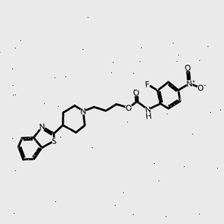 O=C(Nc1ccc([N+](=O)[O-])cc1F)OCCCN1CCC(c2nc3ccccc3s2)CC1